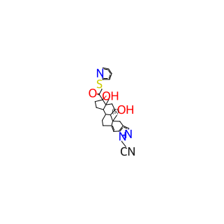 CC12Cc3cnn(CCC#N)c3C=C1CCC1C2[C@@H](O)CC2(C)C1CCC2(O)C(=O)CSc1ccccn1